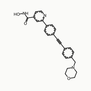 O=C(NO)c1ccnc(-c2ccc(C#Cc3ccc(CN4CCOCC4)cc3)cc2)c1